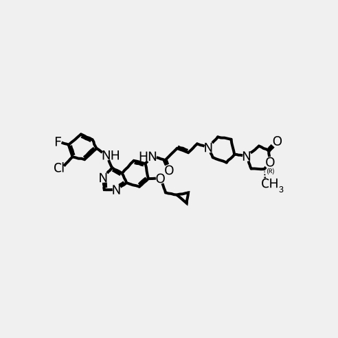 C[C@@H]1CN(C2CCN(CC=CC(=O)Nc3cc4c(Nc5ccc(F)c(Cl)c5)ncnc4cc3OCC3CC3)CC2)CC(=O)O1